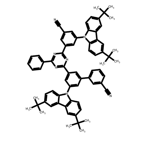 CC(C)(C)c1ccc2c(c1)c1cc(C(C)(C)C)ccc1n2-c1cc(C#N)cc(-c2nc(-c3ccccc3)nc(-c3cc(-c4cccc(C#N)c4)cc(-n4c5ccc(C(C)(C)C)cc5c5cc(C(C)(C)C)ccc54)c3)n2)c1